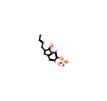 CC=CCC1Cc2ccc(OS(C)(=O)=O)cc2C1=O